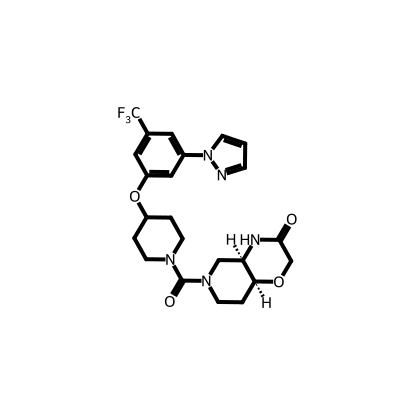 O=C1CO[C@H]2CCN(C(=O)N3CCC(Oc4cc(-n5cccn5)cc(C(F)(F)F)c4)CC3)C[C@H]2N1